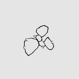 S=P12C3CCCCCCCC3OC3CCCCCCCCC(OC4CCCCCCCC41)C32